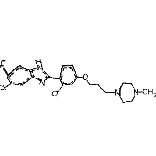 CN1CCN(CCCOc2ccc(-c3nc4cc(Cl)c(F)cc4[nH]3)c(Cl)c2)CC1